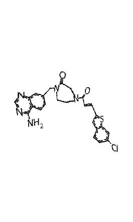 Nc1ncnc2cc(CN3CCN(C(=O)C=Cc4cc5ccc(Cl)cc5s4)CC3=O)ccc12